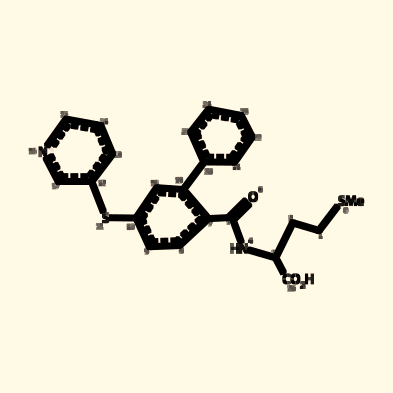 CSCCC(NC(=O)c1ccc(Sc2cccnc2)cc1-c1ccccc1)C(=O)O